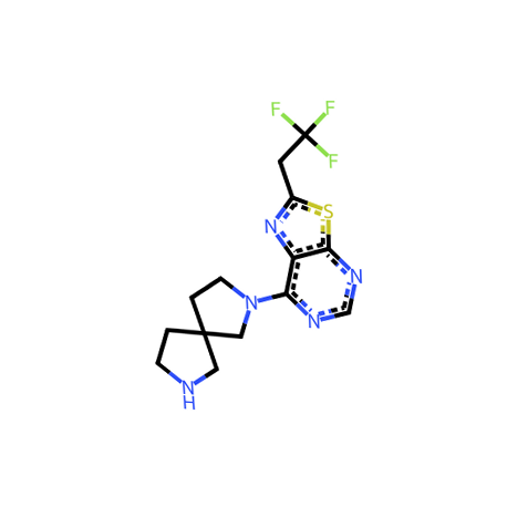 FC(F)(F)Cc1nc2c(N3CCC4(CCNC4)C3)ncnc2s1